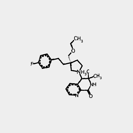 CCOC[C@]1(CCc2ccc(F)cc2)CCN(C2c3cccnc3C(=O)NC2(C)C)C1